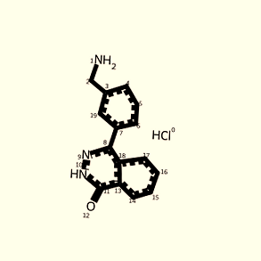 Cl.NCc1cccc(-c2n[nH]c(=O)c3ccccc23)c1